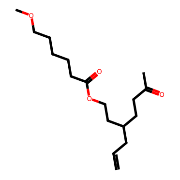 C=CCC(CCOC(=O)CCCCCOC)CCC(C)=O